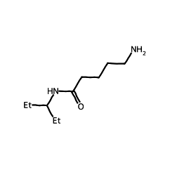 CCC(CC)NC(=O)CCCCN